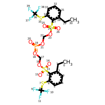 CCc1cccc(SC(F)(F)F)c1S(=O)(=O)OCO[PH](=O)OCOS(=O)(=O)c1c(CC)cccc1SC(F)(F)F